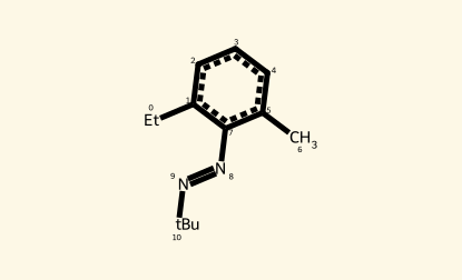 CCc1cccc(C)c1N=NC(C)(C)C